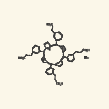 O=C(O)CCc1cccc(-c2c3nc(c(-c4cccc(CCC(=O)O)c4)c4ccc([nH]4)c(-c4cccc(CCC(=O)O)c4)c4nc(c(-c5cccc(CCC(=O)O)c5)c5ccc2[nH]5)C=C4)C=C3)c1.[Mn]